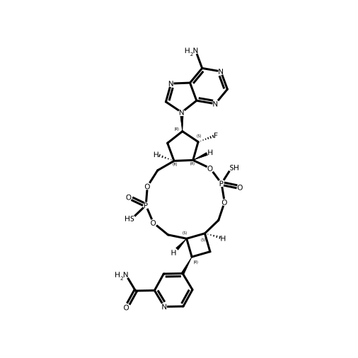 NC(=O)c1cc([C@@H]2C[C@@H]3COP(=O)(S)O[C@@H]4[C@@H](COP(=O)(S)OC[C@H]32)C[C@@H](n2cnc3c(N)ncnc32)[C@@H]4F)ccn1